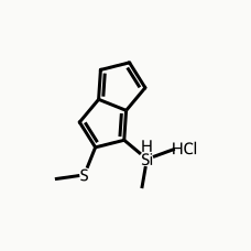 CSC1=CC2=CC=CC2=C1[SiH](C)C.Cl